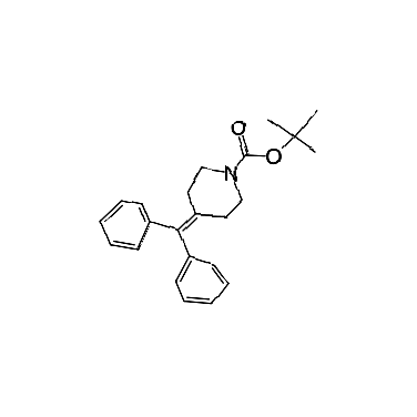 CC(C)(C)OC(=O)N1CCC(=C(c2ccccc2)c2ccccc2)CC1